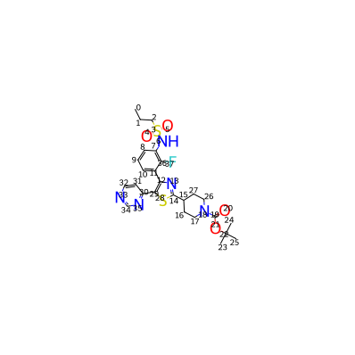 CCCS(=O)(=O)Nc1cccc(-c2nc(C3CCN(C(=O)OC(C)(C)C)CC3)sc2-c2ccncn2)c1F